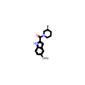 COc1ccc2[nH]c(C(=O)N3CCC[C@H](C)C3)cc2c1